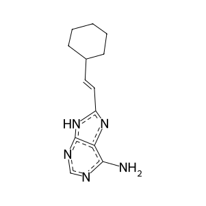 Nc1ncnc2[nH]c(/C=C/C3CCCCC3)nc12